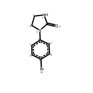 O=C1NCCN1c1ccc(Br)cc1